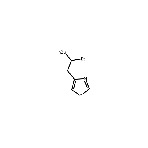 CCCCC(CC)Cc1cocn1